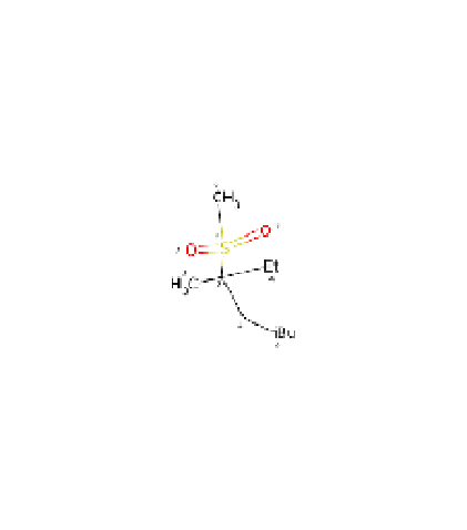 CCC(C)CC(C)(CC)S(C)(=O)=O